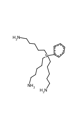 NCCCCC[Si](CCCCCN)(CCCCCN)c1ccccc1